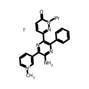 CC(C)n1nc(-c2nc(-c3ccc[n+](C)c3)c(N)nc2-c2ccccc2)ccc1=O.[I-]